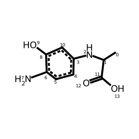 CC(Nc1ccc(N)c(O)c1)C(=O)O